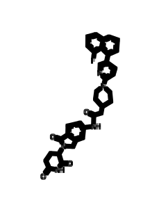 O=C1CCC(N2Cc3cc(NC(=O)CC4CCN(c5ccc(-c6cccc7cccc(F)c67)cn5)CC4)ccc3C2=O)C(=O)N1